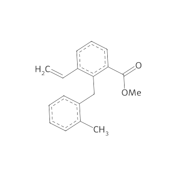 C=Cc1cccc(C(=O)OC)c1Cc1ccccc1C